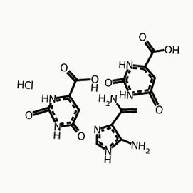 C=C(N)c1nc[nH]c1N.Cl.O=C(O)c1cc(=O)[nH]c(=O)[nH]1.O=C(O)c1cc(=O)[nH]c(=O)[nH]1